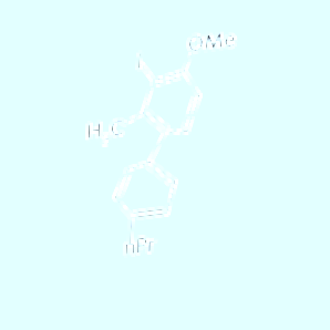 CCCc1ccc(-c2ccc(OC)c(I)c2C)cc1